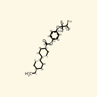 CC[C@H]1CC[C@H]([C@H]2CC[C@H](C(=O)Oc3ccc(OC(F)(F)C(F)F)cc3)CC2)CC1